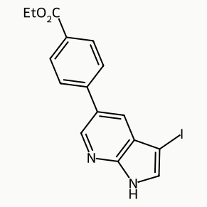 CCOC(=O)c1ccc(-c2cnc3[nH]cc(I)c3c2)cc1